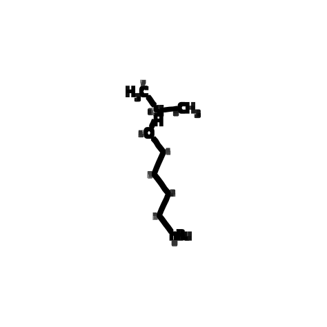 CCCCCCCCO[SiH](C)C